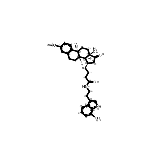 COc1ccc2c(c1)CC[C@H]1[C@@H]3[C@H](CCCC(=O)NCCc4c[nH]c5c(C)cccc45)CC(=O)[C@@]3(C)CC[C@H]21